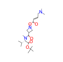 CC(C)[C@@H](C(=O)OC(C)(C)C)N(C)C(=O)C1CN(OC(=O)/C=C/CN(C)C)C1